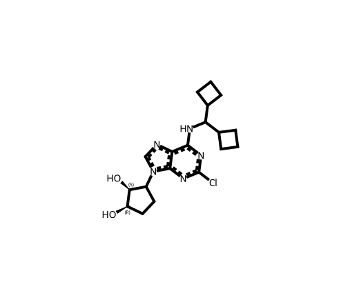 O[C@@H]1CCC(n2cnc3c(NC(C4CCC4)C4CCC4)nc(Cl)nc32)[C@@H]1O